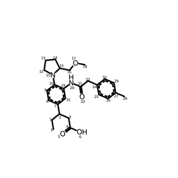 CCC(CC(=O)O)c1ccc(N2CCCC2COC)c(NC(=O)Cc2ccc(C)cc2)c1